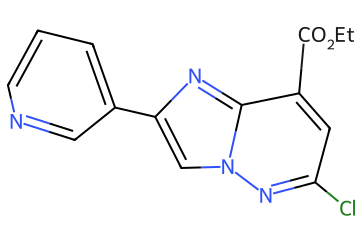 CCOC(=O)c1cc(Cl)nn2cc(-c3cccnc3)nc12